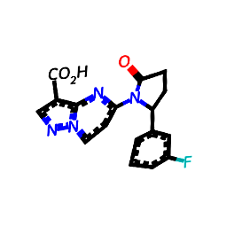 O=C(O)c1cnn2ccc(N3C(=O)CCC3c3cccc(F)c3)nc12